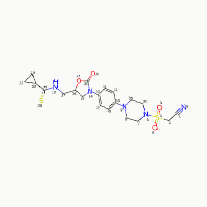 N#CCS(=O)(=O)N1CCN(c2ccc(N3CC(CNC(=S)C4CC4)OC3=O)cc2)CC1